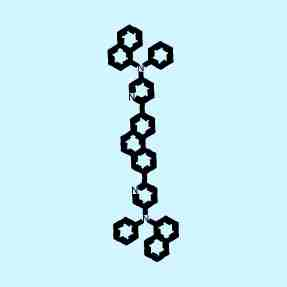 c1ccc(N(c2ccc(-c3ccc4c(ccc5cc(-c6ccc(N(c7ccccc7)c7cccc8ccccc78)cn6)ccc54)c3)nc2)c2cccc3ccccc23)cc1